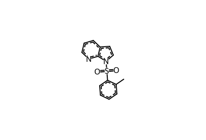 Cc1ccccc1S(=O)(=O)n1ccc2cccnc21